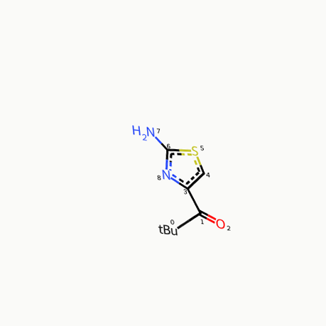 CC(C)(C)C(=O)c1csc(N)n1